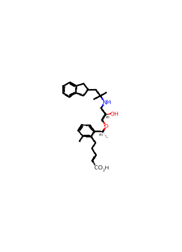 Cc1cccc([C@@H](C)OC[C@H](O)CNC(C)(C)CC2Cc3ccccc3C2)c1CCCCC(=O)O